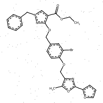 CCOC(=O)c1cn(Cc2ccccc2)nc1OCc1ccc(OCc2nc(-c3ccco3)oc2C)c(Br)c1